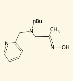 CCCCN(C/C(C)=N/O)Cc1ccccn1